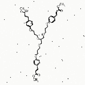 COC(=O)/C=C/c1ccc(OCCCOCC(COCCCOc2ccc(/C=C/C(=O)OC)cc2)OCCCOc2ccc(/C=C/C(=O)OC)cc2)cc1